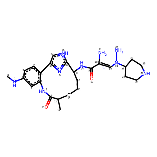 CNc1ccc2c(c1)NC(=O)C(C)CCCC(NC(=O)/C(N)=C/N(N)C1CCNCC1)c1nc-2c[nH]1